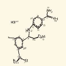 CCN(CC)c1cc(C)cc(C(COC(C)=O)Nc2ccc(C(=N)N)cc2)c1.Cl